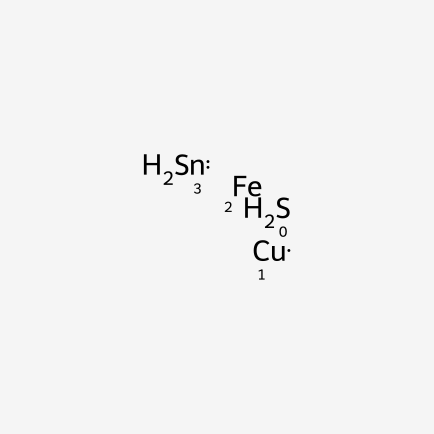 S.[Cu].[Fe].[SnH2]